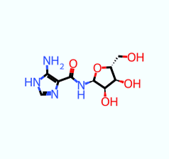 Nc1[nH]cnc1C(=O)N[C@H]1O[C@H](CO)[C@@H](O)[C@H]1O